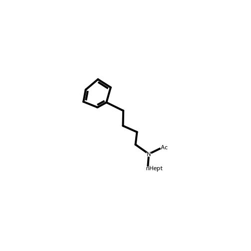 CCCCCCCN(CCCCc1ccccc1)C(C)=O